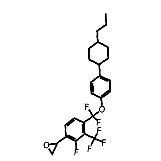 CCCC1CCC(c2ccc(OC(F)(F)c3ccc(C4CO4)c(F)c3C(F)(F)F)cc2)CC1